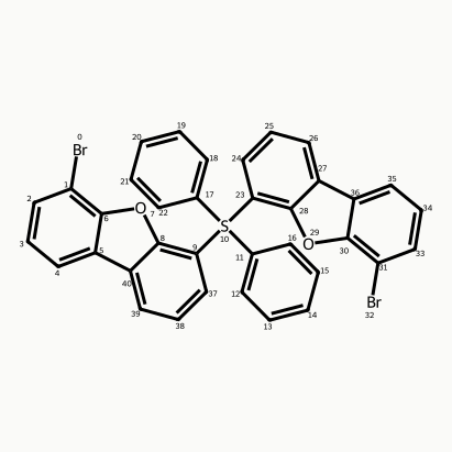 Brc1cccc2c1oc1c(S(c3ccccc3)(c3ccccc3)c3cccc4c3oc3c(Br)cccc34)cccc12